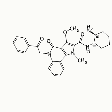 COc1c(C(=O)N[C@H]2CCCC[C@@H]2N)n(C)c2c1c(=O)n(CC(=O)c1ccccc1)c1ccccc21